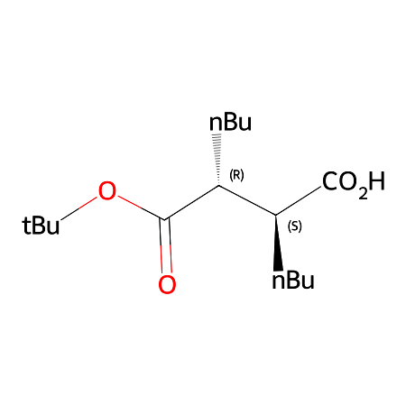 CCCC[C@H](C(=O)O)[C@@H](CCCC)C(=O)OC(C)(C)C